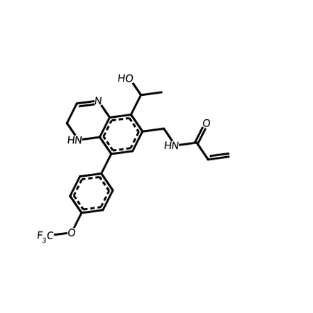 C=CC(=O)NCc1cc(-c2ccc(OC(F)(F)F)cc2)c2c(c1C(C)O)N=CCN2